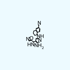 N#Cc1ccc2c(c1)CCCC2Nc1cc(C(=N)c2cnco2)c(N)cn1